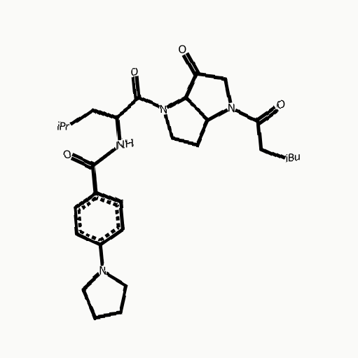 CCC(C)CC(=O)N1CC(=O)C2C1CCN2C(=O)C(CC(C)C)NC(=O)c1ccc(N2CCCC2)cc1